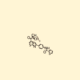 CN(C)C(=O)c1csc2nc(-c3ccc(NC(=O)c4cccs4)cc3)cn12